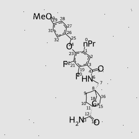 CCCc1cc(C(=O)NC[C@]23CC[C@](C(N)=O)(CC2)CC3)c(F)c(F)c1OCc1ccc(OC)cc1